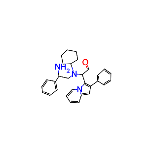 NC(CN(C1CCCCC1)C(C=O)c1c(-c2ccccc2)cc2ccccn12)c1ccccc1